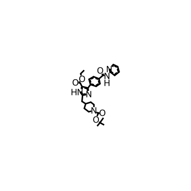 CCOC(=O)c1[nH]c(CC2CCN(C(=O)OC(C)(C)C)CC2)nc1-c1ccc(C(=O)Nc2ccccn2)cc1